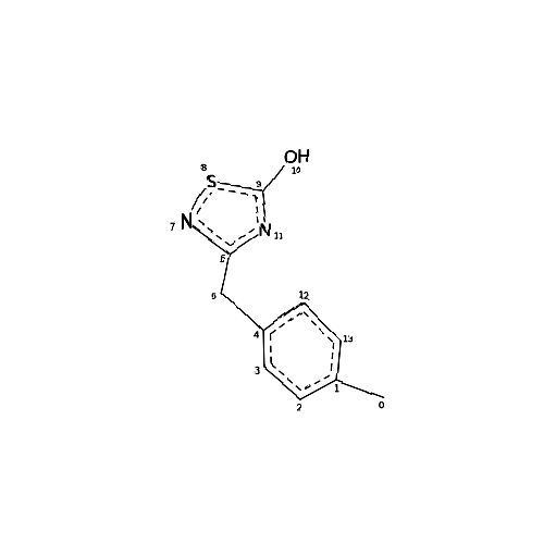 Cc1ccc(Cc2nsc(O)n2)cc1